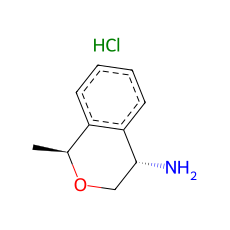 C[C@@H]1OC[C@@H](N)c2ccccc21.Cl